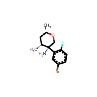 C[C@@H]1C[C@H](C)OC[C@@]1(N)c1cc(Br)ccc1F